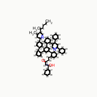 C=CCCC(=C)c1cnc(-c2ccc(-c3ccccc3-c3cc(-c4ccccc4CCC(=O)/C=C(\O)c4ccccc4)cc(-c4ccccc4-c4cnc(-c5ccccc5)cc4-c4ccccc4)c3)cc2)cc1C